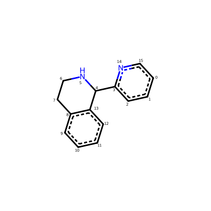 c1ccc(C2NCCc3ccccc32)nc1